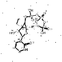 CC[C@]12C(OP(=O)(O)OP(=O)(O)OP(=O)(O)O)[C@H]1O[C@@H](N1C=CCNC1=O)[C@@H]2O